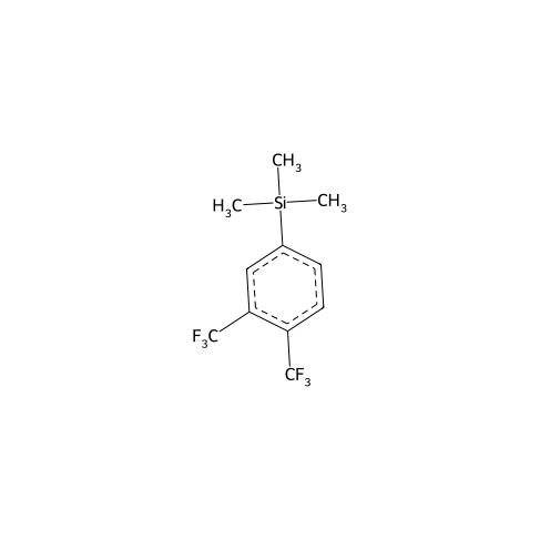 C[Si](C)(C)c1ccc(C(F)(F)F)c(C(F)(F)F)c1